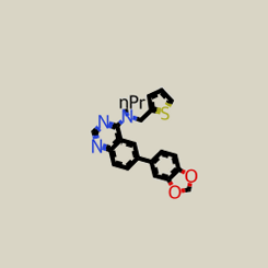 CCCN(Cc1cccs1)c1ncnc2ccc(-c3ccc4c(c3)OCO4)cc12